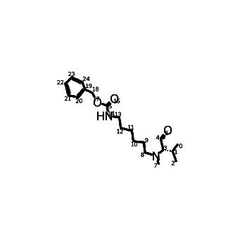 CC(C)[C@@H]([C]=O)N(C)CCCCCCNC(=O)OCc1ccccc1